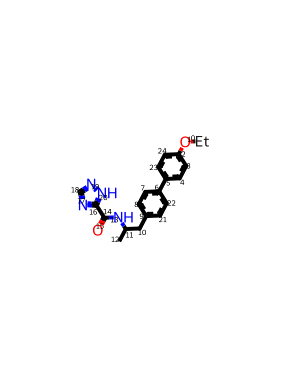 CCOc1ccc(-c2ccc(CC(C)NC(=O)c3ncn[nH]3)cc2)cc1